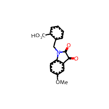 COc1ccc2c(c1)C(=O)C(=O)N2Cc1ccccc1C(=O)O